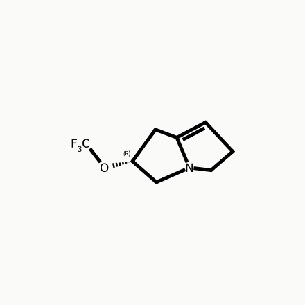 FC(F)(F)O[C@@H]1CC2=CCCN2C1